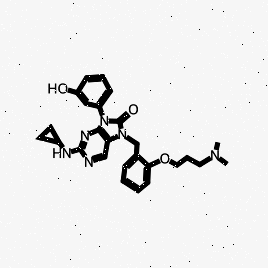 CN(C)CCCOc1ccccc1Cn1c(=O)n(-c2cccc(O)c2)c2nc(NC3CC3)ncc21